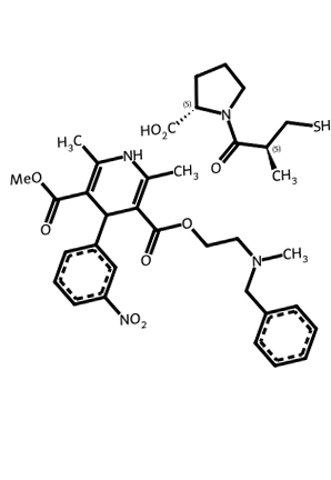 COC(=O)C1=C(C)NC(C)=C(C(=O)OCCN(C)Cc2ccccc2)C1c1cccc([N+](=O)[O-])c1.C[C@H](CS)C(=O)N1CCC[C@H]1C(=O)O